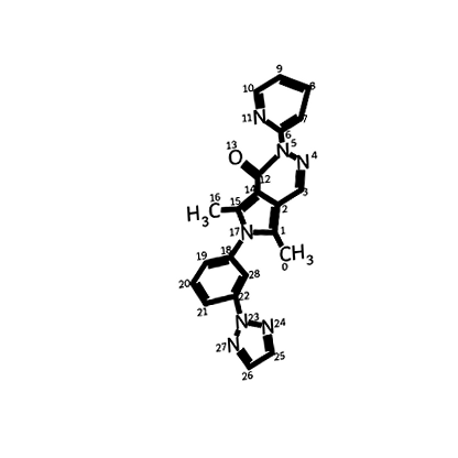 Cc1c2cnn(-c3ccccn3)c(=O)c2c(C)n1-c1cccc(-n2nccn2)c1